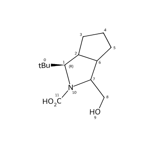 CC(C)(C)[C@H]1C2CCCC2C(CO)N1C(=O)O